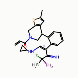 BC(F)(P)C(=N)/C(=C\NC1CC1)c1ccccc1C1CN(C(=O)C=C)Cc2sc(C)cc21